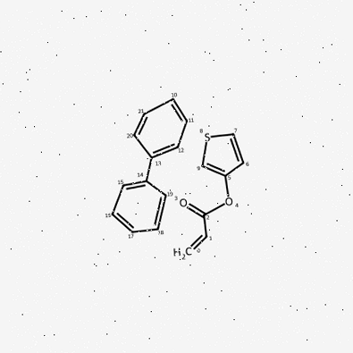 C=CC(=O)Oc1ccsc1.c1ccc(-c2ccccc2)cc1